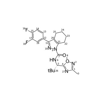 Cc1noc([C@@H](NC(=O)n2nc(-c3ccc(F)c(F)c3)c3c2CCCC3)C(C)(C)C)n1